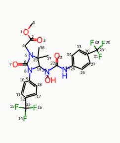 COC(=O)CN1C(=O)N(c2ccc(C(F)(F)F)cc2)C(N(O)C(=O)Nc2ccc(C(F)(F)F)cc2)C1(C)C